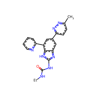 CCNC(=O)Nc1nc2cc(-c3ccc(C)nn3)cc(-c3ccccn3)c2[nH]1